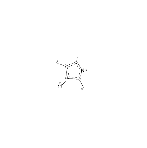 Cc1nsc(C)c1Cl